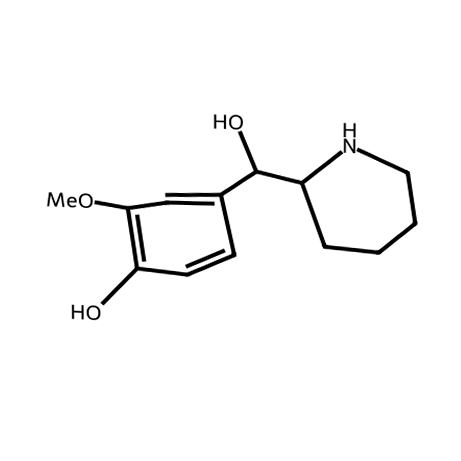 COc1cc(C(O)C2CCCCN2)ccc1O